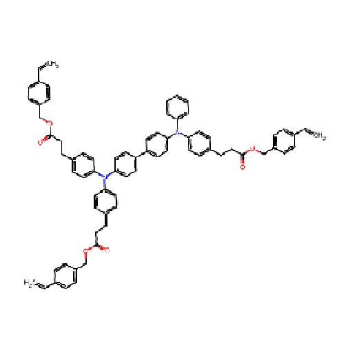 C=Cc1ccc(COC(=O)CCc2ccc(N(c3ccccc3)c3ccc(-c4ccc(N(c5ccc(CCC(=O)OCc6ccc(C=C)cc6)cc5)c5ccc(CCC(=O)OCc6ccc(C=C)cc6)cc5)cc4)cc3)cc2)cc1